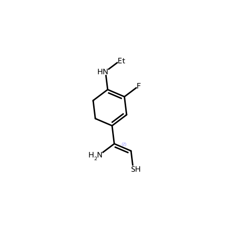 CCNC1=C(F)C=C(/C(N)=C/S)CC1